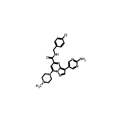 CN1CCN(c2cc(C(=O)NCc3ccc(Cl)cc3)nc3c(-c4cnc(N)nc4)cnn23)CC1